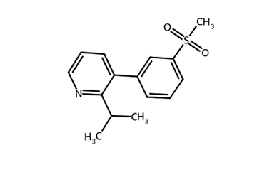 CC(C)c1ncccc1-c1cccc(S(C)(=O)=O)c1